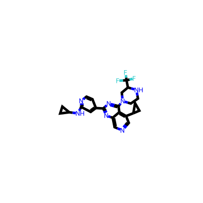 FC(F)(F)C1CN(c2nc(-c3ccnc(NC4CC4)c3)nc3cncc(C4CC4)c23)CCN1